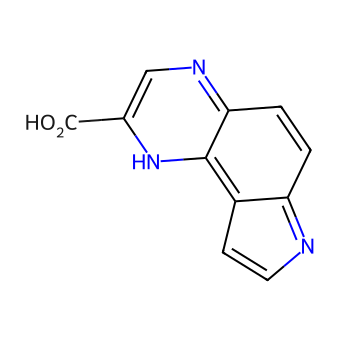 O=C(O)c1cnc2ccc3nccc3c2[nH]1